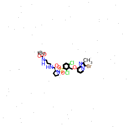 Cc1nc2c(OCc3c(Cl)ccc(S(=O)(=O)N4CCC[C@H]4C(=O)NCCCNC(=O)OC(C)(C)C)c3Cl)cccn2c1Br